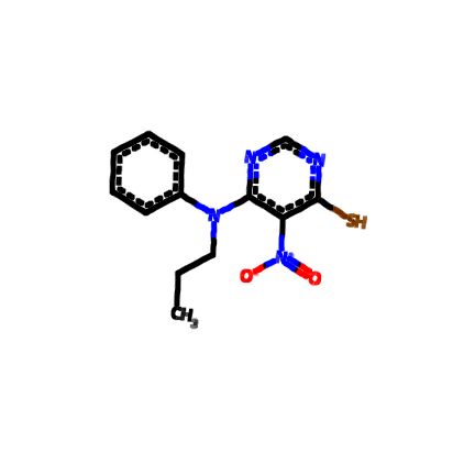 CCCN(c1ccccc1)c1ncnc(S)c1[N+](=O)[O-]